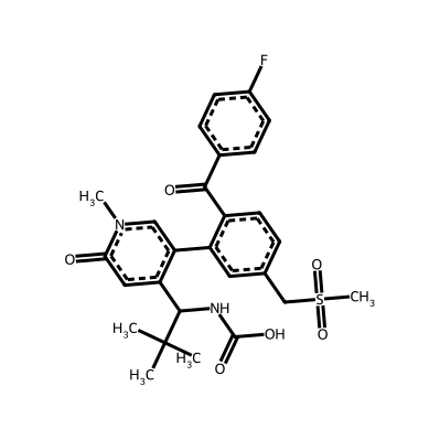 Cn1cc(-c2cc(CS(C)(=O)=O)ccc2C(=O)c2ccc(F)cc2)c(C(NC(=O)O)C(C)(C)C)cc1=O